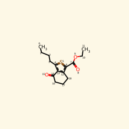 CCCCc1sc(C(=O)OCC)c2c1C(=O)CCC2